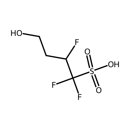 O=S(=O)(O)C(F)(F)C(F)CCO